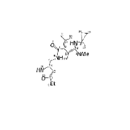 CCC1=CC(CNC(=O)C(=C(C)C)/C(C)=C(/NC)NC2(C)CC2)NO1